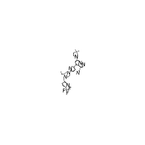 CCC1CN(c2ccc(-c3cc(N4CCC(C)(C)C4)cn4ncc(C#N)c34)cn2)CCN1Cc1ccc(C(F)(F)F)nc1